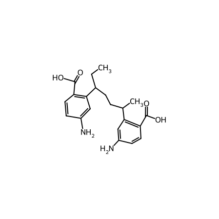 CCC(CCC(C)c1cc(N)ccc1C(=O)O)c1cc(N)ccc1C(=O)O